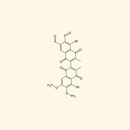 CC1=C(C2=C(C)C(=O)c3c(cc(P=O)c(P=O)c3C(C)C)C2=O)C(=O)c2cc(OP)c(OP)c(C(C)C)c2C1=O